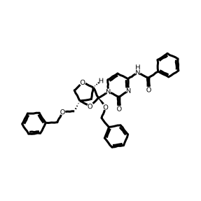 O=C(Nc1ccn([C@]2(OCc3ccccc3)O[C@@]3(COCc4ccccc4)CO[C@@H]2C3)c(=O)n1)c1ccccc1